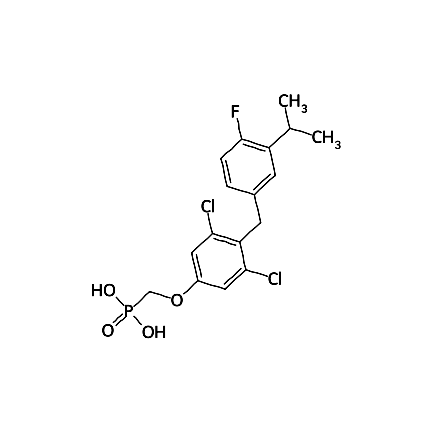 CC(C)c1cc(Cc2c(Cl)cc(OCP(=O)(O)O)cc2Cl)ccc1F